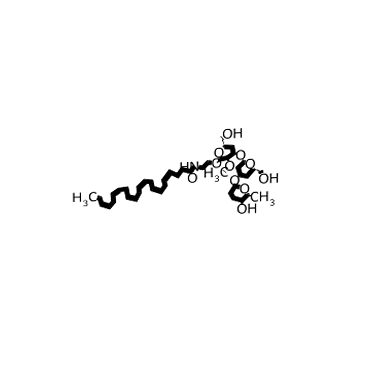 CC/C=C\C/C=C\C/C=C\C/C=C\C/C=C\C/C=C\CCC(=O)NCCO[C@@H]1O[C@H](CO)C[C@H](O[C@H]2C[C@@H](O[C@H]3CC[C@H](O)[C@@H](C)O3)C[C@@H](CO)O2)[C@H]1OC